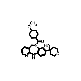 COC1CCC(C(=O)N2Cc3cccnc3Nc3ccc(C4(O)CCOCC4)cc32)CC1